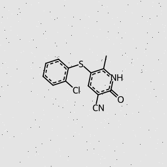 Cc1[nH]c(=O)c(C#N)cc1Sc1ccccc1Cl